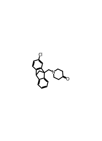 O=C1CCN(CC23CC(c4ccccc42)c2ccc(Cl)cc23)CC1